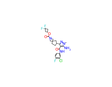 Cn1nc(C2CCC3(C2)CN(C(=O)OC2CC(F)(F)C2)C3)c(C(=O)Nc2ccc(F)c(Cl)c2)c1N